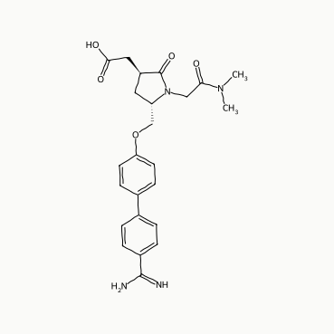 CN(C)C(=O)CN1C(=O)[C@H](CC(=O)O)C[C@H]1COc1ccc(-c2ccc(C(=N)N)cc2)cc1